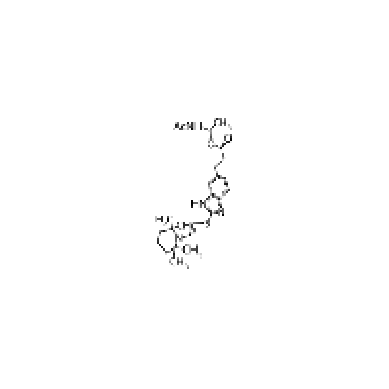 CC(=O)NC(C)OC(=O)CCc1ccc2nc(SCCN3C(C)(C)CCCC3(C)C)[nH]c2c1